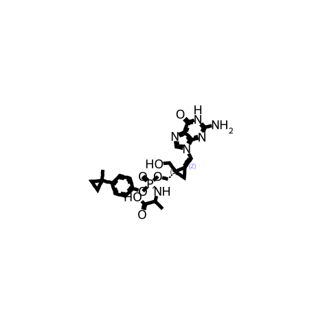 CC(NP(=O)(OC[C@@]1(CO)C/C1=C/n1cnc2c(=O)[nH]c(N)nc21)Oc1ccc(C2(C)CC2)cc1)C(=O)O